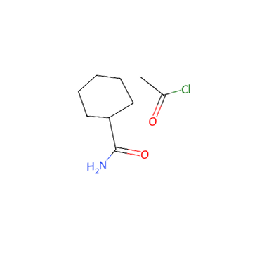 CC(=O)Cl.NC(=O)C1CCCCC1